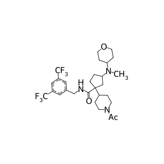 CC(=O)N1CCC(C2(C(=O)NCc3cc(C(F)(F)F)cc(C(F)(F)F)c3)CCC(N(C)C3CCOCC3)C2)CC1